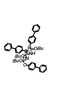 CC(C)COP(N[PH](N=[PH](OCC(C)C)Oc1ccc(-c2ccccc2)cc1)(OCC(C)C)Oc1ccc(-c2ccccc2)cc1)Oc1ccc(-c2ccccc2)cc1